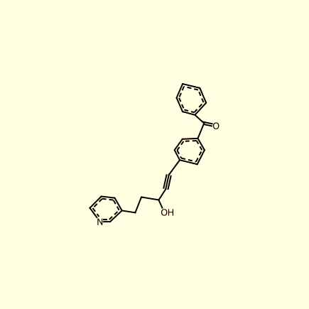 O=C(c1ccccc1)c1ccc(C#CC(O)CCc2cccnc2)cc1